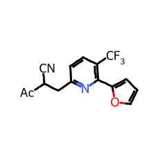 CC(=O)C(C#N)Cc1ccc(C(F)(F)F)c(-c2ccco2)n1